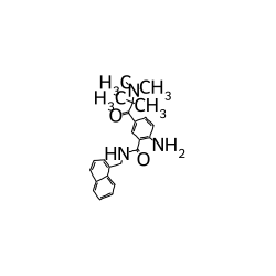 CN(C)C(C)(C)C(=O)c1ccc(N)c(C(=O)NCc2cccc3ccccc23)c1